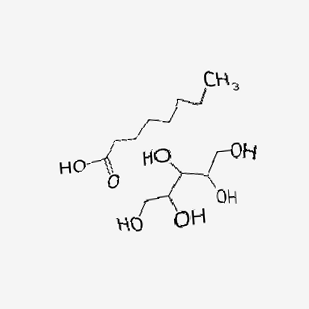 CCCCCCCC(=O)O.OCC(O)C(O)C(O)CO